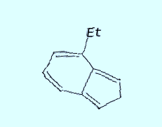 CCc1cccc2c1=CCC=2